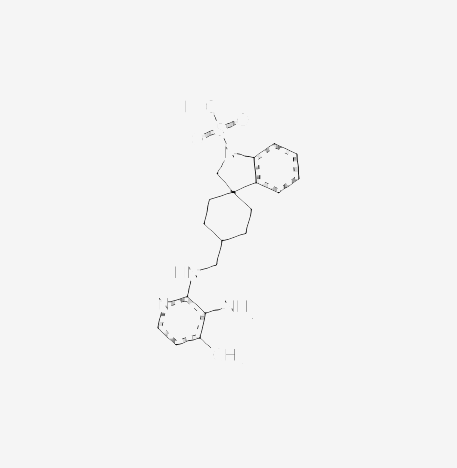 Cc1ccnc(NCC2CCC3(CC2)CN(S(C)(=O)=O)c2ccccc23)c1N